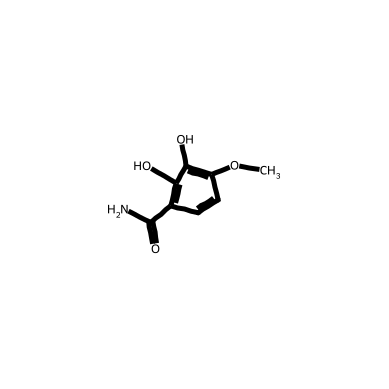 COc1ccc(C(N)=O)c(O)c1O